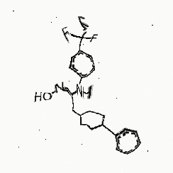 O/N=C(\CC1CCC(c2ccccc2)CC1)Nc1ccc(C(F)(F)F)cc1